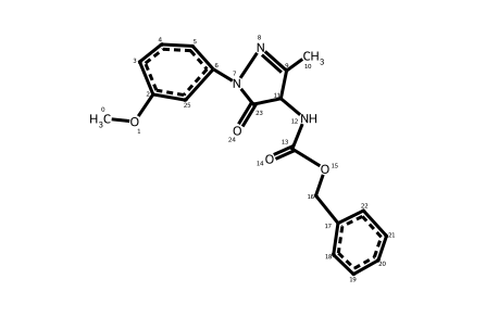 COc1cccc(N2N=C(C)C(NC(=O)OCc3ccccc3)C2=O)c1